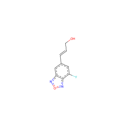 OC/C=C/c1cc(F)c2nonc2c1